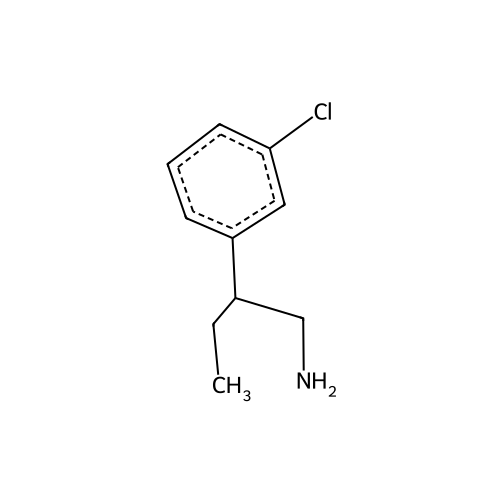 CCC(CN)c1cccc(Cl)c1